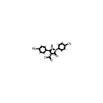 Cn1c(-c2ccc(C(C)(C)C)cc2)c(C(=O)Cl)c(=O)n1-c1ccc(C#N)cc1